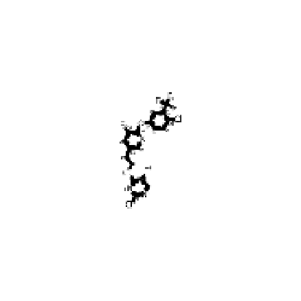 Fc1cnc(Cl)nc1OCCc1cnc(Oc2ccc(Cl)c(C(F)(F)F)c2)c(F)c1